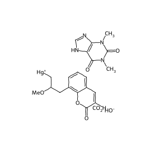 COC([CH2][Hg+])Cc1cccc2cc(C(=O)O)c(=O)oc12.Cn1c(=O)c2[nH]cnc2n(C)c1=O.[OH-]